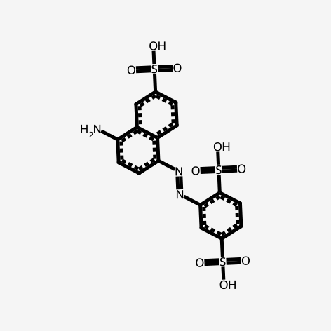 Nc1ccc(/N=N/c2cc(S(=O)(=O)O)ccc2S(=O)(=O)O)c2ccc(S(=O)(=O)O)cc12